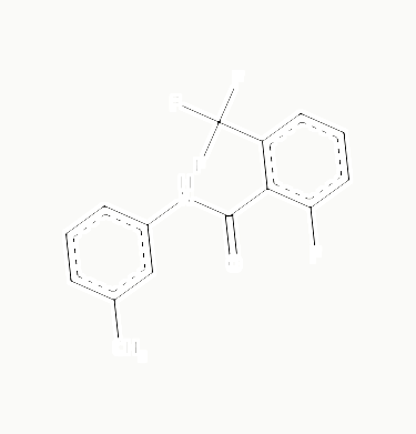 Cc1cccc(NC(=O)c2c(F)cccc2C(F)(F)F)c1